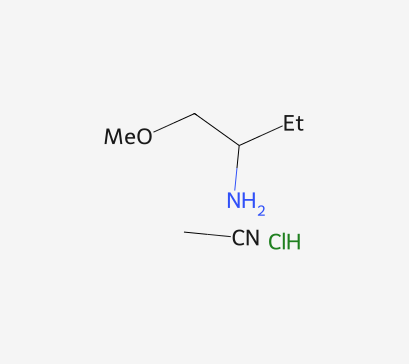 CC#N.CCC(N)COC.Cl